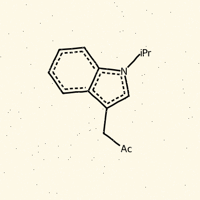 CC(=O)Cc1cn(C(C)C)c2ccccc12